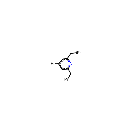 CCc1cc(CC(C)C)nc(CC(C)C)c1